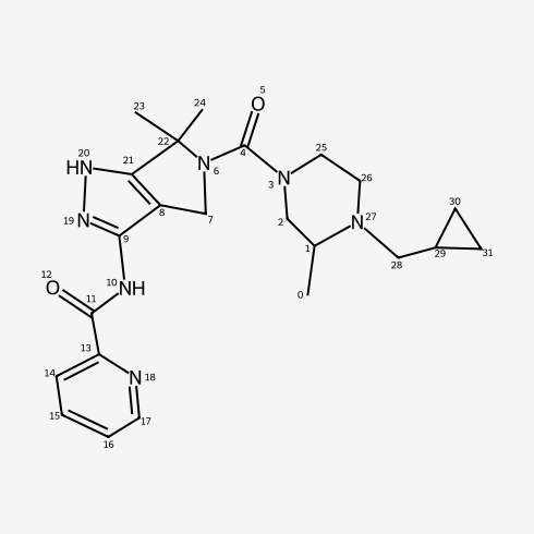 CC1CN(C(=O)N2Cc3c(NC(=O)c4ccccn4)n[nH]c3C2(C)C)CCN1CC1CC1